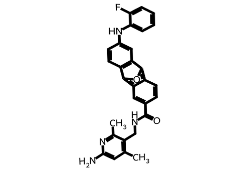 Cc1cc(N)nc(C)c1CNC(=O)c1ccc2c(c1)c1oc2c2cc(Nc3ccccc3F)ccc21